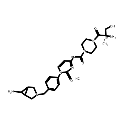 C[C@@](N)(CO)C(=O)N1CCN(C(=O)Nc2ccn(-c3ccc(CN4CC5C(N)C5C4)cc3)c(=O)n2)CC1.Cl